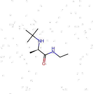 CCNC(=O)[C@@H](C)NC(C)(C)C